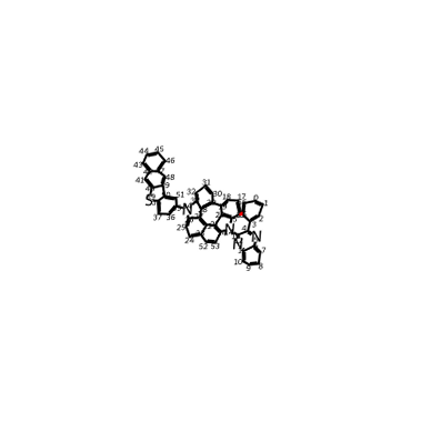 c1ccc(-c2nc3ccccc3nc2-n2c3cccc4c3c3c5c(ccc6c5c5c-4cccc5n6-c4ccc5sc6cc7ccccc7cc6c5c4)ccc32)cc1